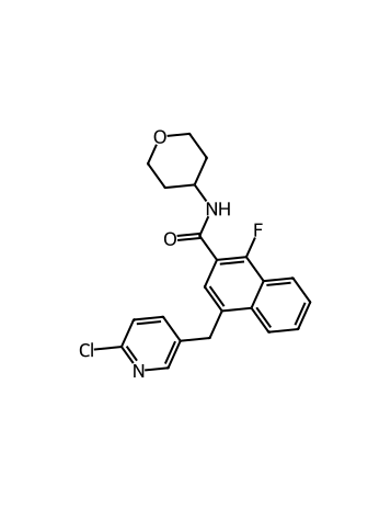 O=C(NC1CCOCC1)c1cc(Cc2ccc(Cl)nc2)c2ccccc2c1F